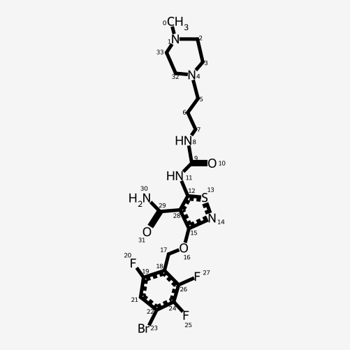 CN1CCN(CCCNC(=O)Nc2snc(OCc3c(F)cc(Br)c(F)c3F)c2C(N)=O)CC1